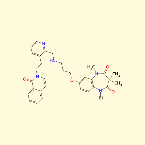 CCN1C(=O)C(C)(C)C(=O)N(C)c2cc(OCCCNCc3ncccc3CCn3ccc4ccccc4c3=O)ccc21